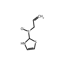 C=CC[S+]([O-])C1NC=CS1